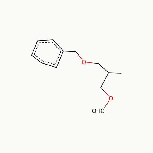 CC(CO[C]=O)COCc1ccccc1